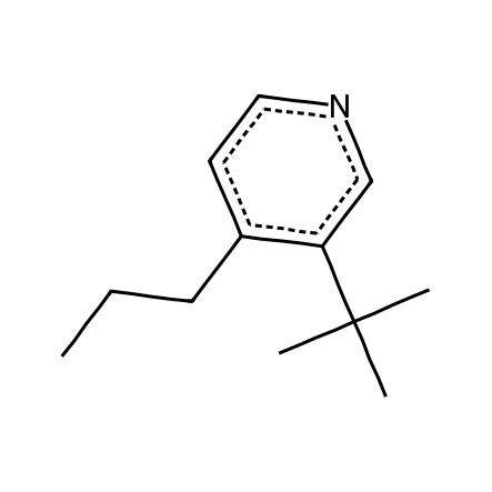 CCCc1ccncc1C(C)(C)C